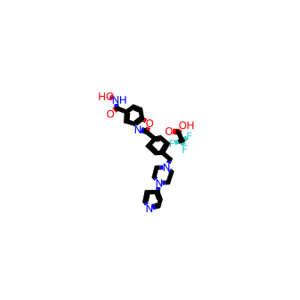 O=C(NO)c1ccc2oc(-c3ccc(CN4CCN(c5ccncc5)CC4)cc3)nc2c1.O=C(O)C(F)(F)F